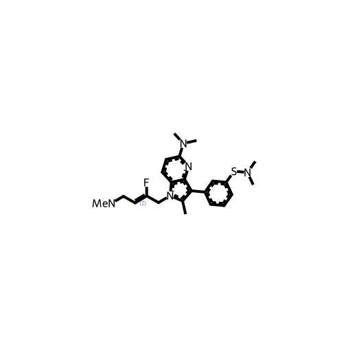 CNC/C=C(\F)Cn1c(C)c(-c2cccc(SN(C)C)c2)c2nc(N(C)C)ccc21